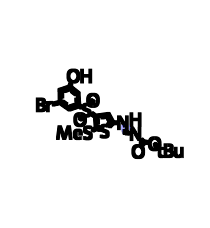 CSc1sc(/N=C/NC(=O)OC(C)(C)C)cc1S(=O)(=O)c1cc(O)cc(Br)c1